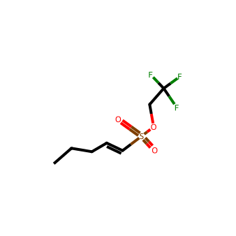 CCC/C=C/S(=O)(=O)OCC(F)(F)F